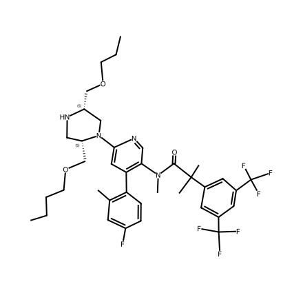 CCCCOC[C@@H]1CN[C@H](COCCC)CN1c1cc(-c2ccc(F)cc2C)c(N(C)C(=O)C(C)(C)c2cc(C(F)(F)F)cc(C(F)(F)F)c2)cn1